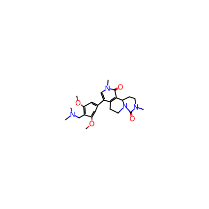 COc1cc(-c2cn(C)c(=O)c3c2CCN2C(=O)N(C)CCC32)cc(OC)c1CN(C)C